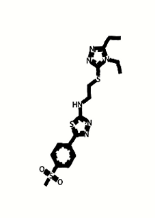 CCc1nnc(SCCNc2nnc(-c3ccc(S(C)(=O)=O)cc3)s2)n1CC